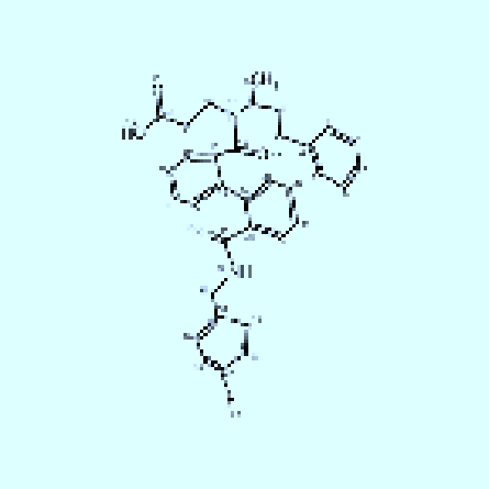 CC(CCc1ccccc1)N(CCC(=O)O)C(=O)c1ccccc1-c1ccccc1C(=O)NCc1ccc(F)cc1